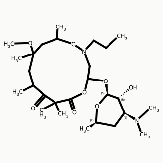 CCCN1CC(C)CC(C)(OC)CC(C)C(=O)C(C)(C)C(=O)OC(O[C@@H]2O[C@H](C)C[C@H](N(C)C)[C@H]2O)C1